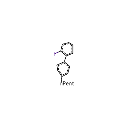 CCCCCc1ccc(-c2ccccc2I)cc1